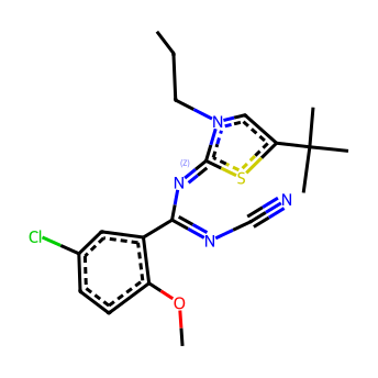 CCCn1cc(C(C)(C)C)s/c1=N\C(=NC#N)c1cc(Cl)ccc1OC